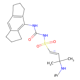 CC(C)NC(C)(C)/C=C/S(=O)(=O)NC(=O)Nc1c2c(cc3c1CCC3)CCC2